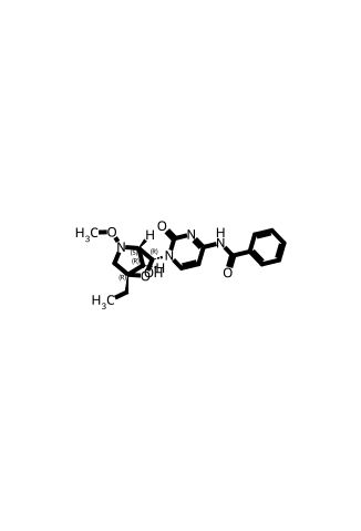 CC[C@]12CN(OC)[C@H]([C@H](n3ccc(NC(=O)c4ccccc4)nc3=O)O1)[C@H]2O